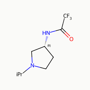 CC(C)N1CC[C@@H](NC(=O)C(F)(F)F)C1